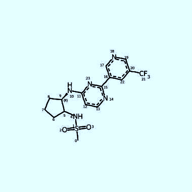 CS(=O)(=O)NC1CCC[C@H]1Nc1ccnc(-c2cncc(C(F)(F)F)c2)n1